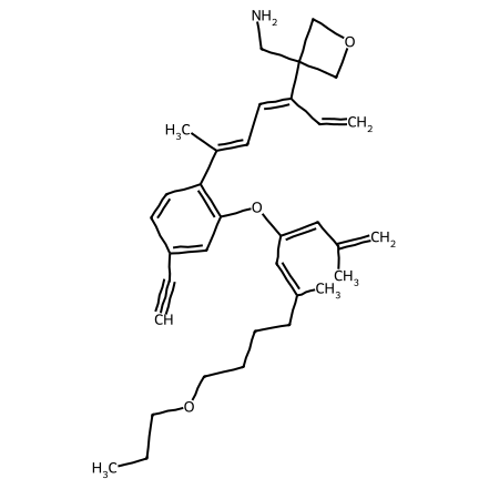 C#Cc1ccc(/C(C)=C/C=C(\C=C)C2(CN)COC2)c(OC(/C=C(\C)CCCCOCCC)=C/C(=C)C)c1